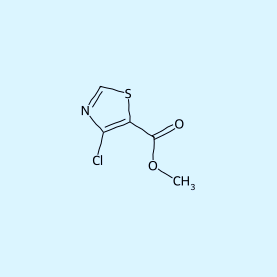 COC(=O)c1scnc1Cl